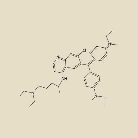 CCN(CC)CCCC(C)Nc1ccnc2cc(Cl)c(C(=C3C=CC(=[N+](C)CC)C=C3)c3ccc(N(C)CC)cc3)cc12